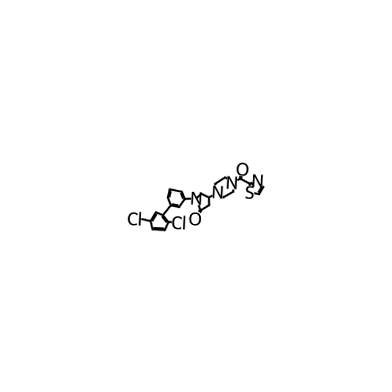 O=C(c1nccs1)N1CCN(C2CC(=O)N(c3cccc(-c4cc(Cl)ccc4Cl)c3)C2)CC1